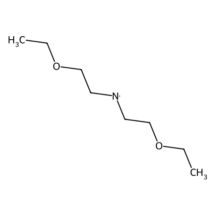 CCOCC[N]CCOCC